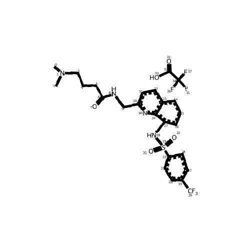 CN(C)CCCC(=O)NCc1ccc2cccc(NS(=O)(=O)c3ccc(C(F)(F)F)cc3)c2n1.O=C(O)C(F)(F)F